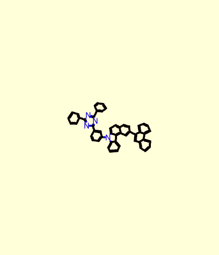 c1ccc(-c2nc(-c3ccccc3)nc(-c3cccc(-n4c5ccccc5c5c6cc(-c7cc8ccccc8c8ccccc78)ccc6ccc54)c3)n2)cc1